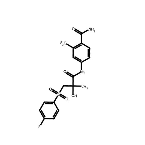 CC(O)(CS(=O)(=O)c1ccc(F)cc1)C(=O)Nc1ccc(C(N)=O)c(C(F)(F)F)c1